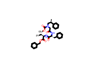 CC(C)C[C@@H](NC(=O)[C@@H](Cc1ccccc1)NC(=O)CN(C[C@@H](C)c1ccccc1)C(=O)OC(C)(C)C)C(=O)OCc1ccccc1